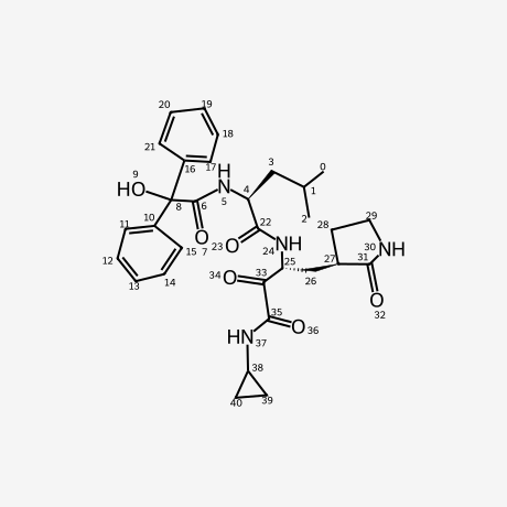 CC(C)C[C@H](NC(=O)C(O)(c1ccccc1)c1ccccc1)C(=O)N[C@H](C[C@H]1CCNC1=O)C(=O)C(=O)NC1CC1